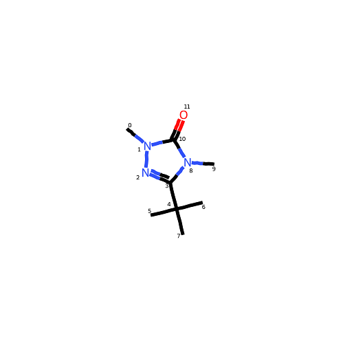 Cn1nc(C(C)(C)C)n(C)c1=O